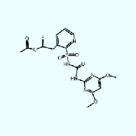 COc1cc(OC)nc(NC(=O)NS(=O)(=O)c2ncccc2CC(F)OC(C)=O)n1